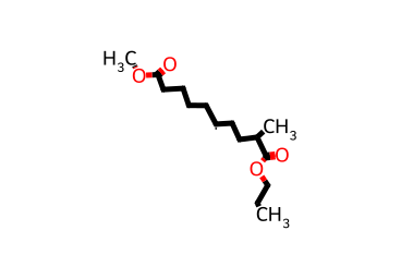 CCCOC(=O)C(C)CC[CH]CCCCC(=O)OC